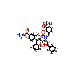 CCCCOc1cccc(CN2C(=O)N(Cc3cccc(C(N)=O)c3)[C@H](Cc3ccccc3)[C@H](O)[C@H]2CCc2ccccc2)c1